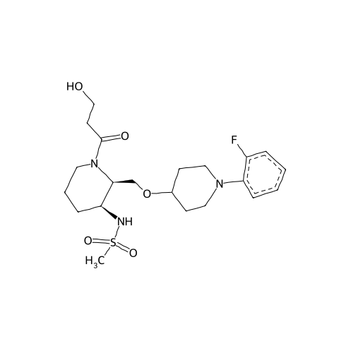 CS(=O)(=O)N[C@H]1CCCN(C(=O)CCO)[C@H]1COC1CCN(c2ccccc2F)CC1